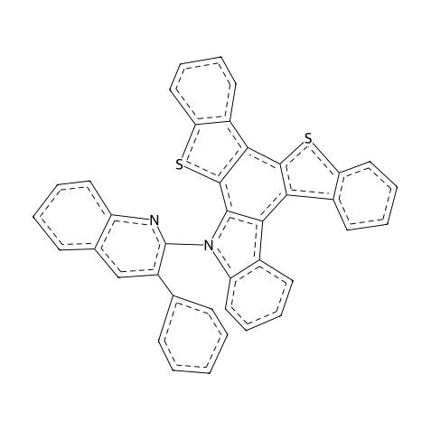 c1ccc(-c2cc3ccccc3nc2-n2c3ccccc3c3c4c5ccccc5sc4c4c5ccccc5sc4c32)cc1